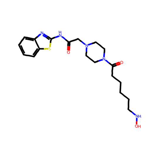 O=C(CN1CCN(C(=O)CCCCCNO)CC1)Nc1nc2ccccc2s1